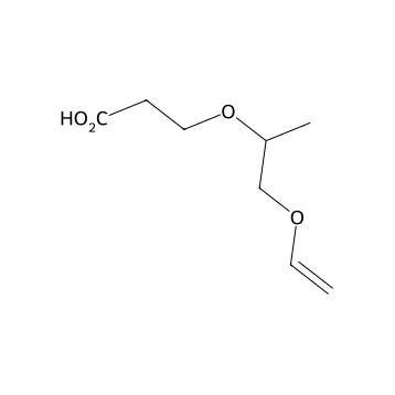 C=COCC(C)OCCC(=O)O